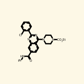 CCOC(=O)N1CCN(c2nc(-c3ccccc3Cl)nc3cc(C(=O)NC(C)C)ccc23)CC1